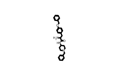 NC(Cc1ccc(OCc2ccccc2)cc1)C(=O)NC1CCN(Cc2ccccc2)CC1